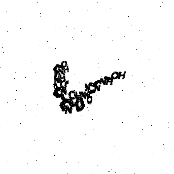 COc1nc(-c2ccnc(-c3cccc(NC(=O)c4cnc(CNCCO)cn4)c3C)c2Cl)ccc1CNC[C@H]1CCC(=O)N1